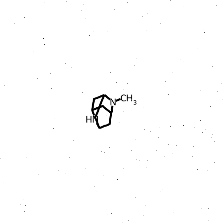 CN1C2CC3CC1CC(C2)N3